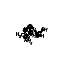 C#CCCC1(CCN(Cc2cccc(N3CCCC3)c2)C2CCN(c3nc(C)cc(N)n3)CC2)NN1